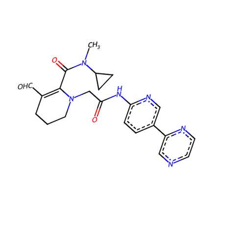 CN(C(=O)C1=C(C=O)CCCN1CC(=O)Nc1ccc(-c2cnccn2)cn1)C1CC1